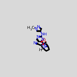 Cn1cc(Nc2nccc(N3CC4CC[C@@H](C3)N4C3(CC#N)COC3)n2)cn1